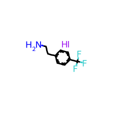 I.NCCc1ccc(C(F)(F)F)cc1